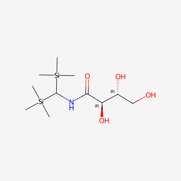 C[Si](C)(C)C(NC(=O)[C@H](O)[C@H](O)CO)[Si](C)(C)C